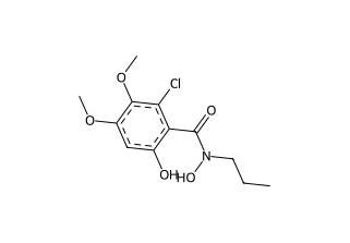 CCCN(O)C(=O)c1c(O)cc(OC)c(OC)c1Cl